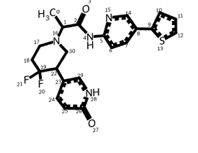 CC(C(=O)Nc1ccc(-c2cccs2)cn1)N1CCC(F)(F)C(c2ccc(=O)[nH]c2)C1